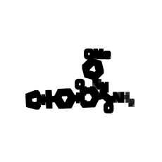 COc1ccc(-n2nc(C(N)=O)c3c2C(=O)N(c2ccc(C(C)(C)N4CCCC4)cc2)CC3)cc1